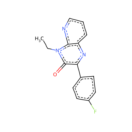 CCn1c(=O)c(-c2ccc(F)cc2)nc2cccnc21